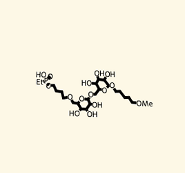 CCP(=O)(O)OCCCCOCC1OC(OCC2OC(OCCCCCOC)C(O)C(O)C2O)C(O)C(O)C1O